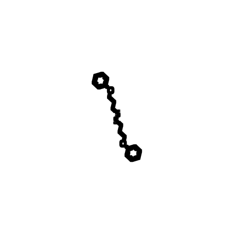 c1ccc(OCCCSSCCCOc2ccccc2)cc1